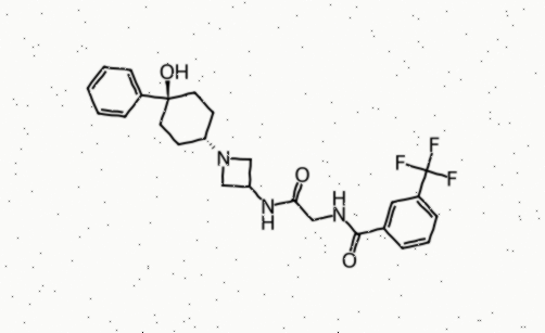 O=C(CNC(=O)c1cccc(C(F)(F)F)c1)NC1CN([C@H]2CC[C@@](O)(c3ccccc3)CC2)C1